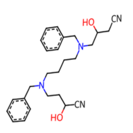 N#CCC(O)CN(CCCCN(CCC(O)C#N)Cc1ccccc1)Cc1ccccc1